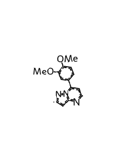 COc1ccc(-c2ccnc3c[c]nn23)cc1OC